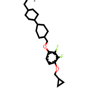 CCC1CCC(C2CCC(COc3ccc(OCC4CC4)c(F)c3F)CC2)CC1